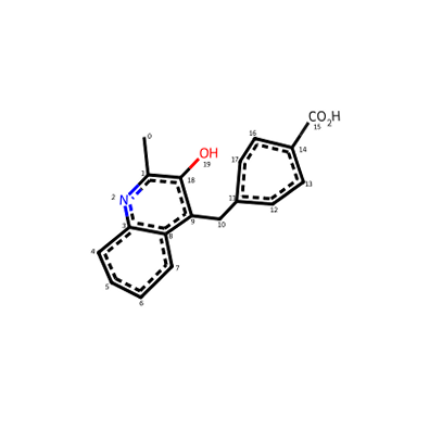 Cc1nc2ccccc2c(Cc2ccc(C(=O)O)cc2)c1O